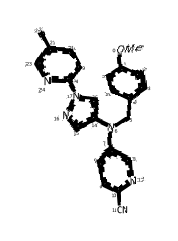 COc1ccc(CN(c2ccc(C#N)nc2)c2cnn(-c3ccc(C)cn3)c2)cc1